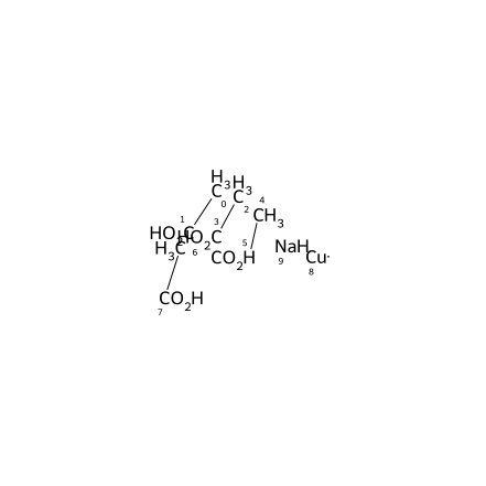 CC(=O)O.CC(=O)O.CC(=O)O.CC(=O)O.[Cu].[NaH]